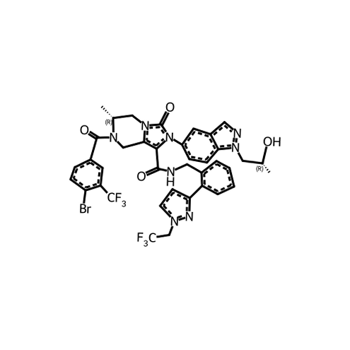 C[C@@H]1Cn2c(c(C(=O)NCc3ccccc3-c3ccn(CC(F)(F)F)n3)n(-c3ccc4c(cnn4C[C@@H](C)O)c3)c2=O)CN1C(=O)c1ccc(Br)c(C(F)(F)F)c1